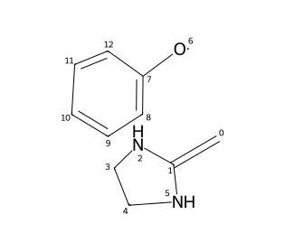 C=C1NCCN1.[O]c1ccccc1